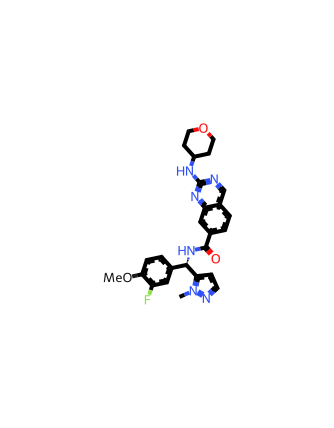 COc1ccc([C@H](NC(=O)c2ccc3cnc(NC4CCOCC4)nc3c2)c2ccnn2C)cc1F